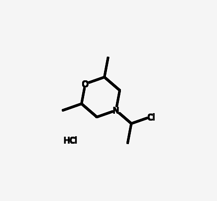 CC1CN(C(C)Cl)CC(C)O1.Cl